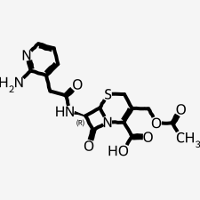 CC(=O)OCC1=C(C(=O)O)N2C(=O)[C@@H](NC(=O)Cc3cccnc3N)C2SC1